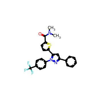 CN(C)C(=O)c1ccc(-c2cc(-c3ccccc3)nn2-c2ccc(C(F)(F)F)cc2)s1